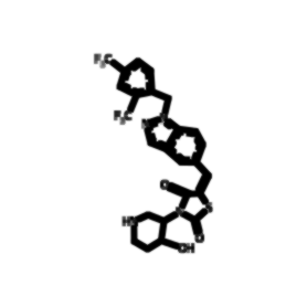 O=C1SC(=Cc2ccc3c(cnn3Cc3ccc(C(F)(F)F)cc3C(F)(F)F)c2)C(=O)N1C1CNCCC1O